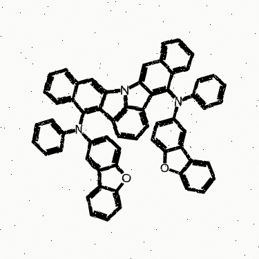 c1ccc(N(c2ccc3oc4ccccc4c3c2)c2c3ccccc3cc3c2c2cccc4c5c(N(c6ccccc6)c6ccc7oc8ccccc8c7c6)c6ccccc6cc5n3c24)cc1